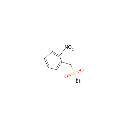 C[CH]S(=O)(=O)Cc1ccccc1[N+](=O)[O-]